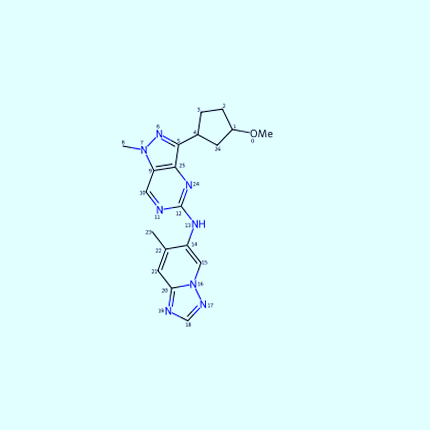 COC1CCC(c2nn(C)c3cnc(Nc4cn5ncnc5cc4C)nc23)C1